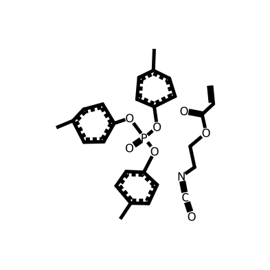 C=CC(=O)OCCN=C=O.Cc1ccc(OP(=O)(Oc2ccc(C)cc2)Oc2ccc(C)cc2)cc1